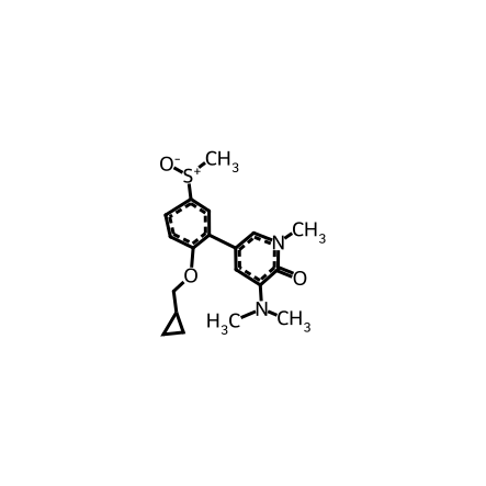 CN(C)c1cc(-c2cc([S+](C)[O-])ccc2OCC2CC2)cn(C)c1=O